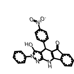 O=C1C2=C(Nc3nn(-c4ccccc4)c(O)c3C2c2ccc([N+](=O)[O-])cc2)c2ccccc21